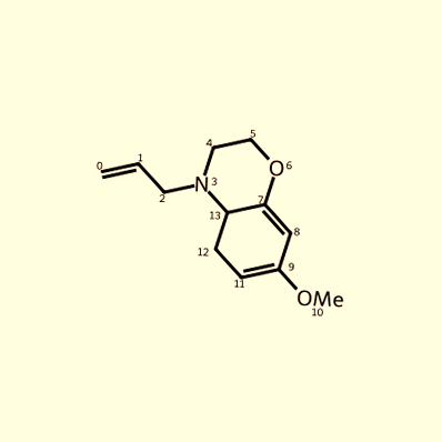 C=CCN1CCOC2=CC(OC)=CCC21